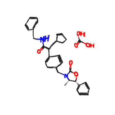 C[C@H]1[C@@H](c2ccccc2)OC(=O)N1Cc1ccc(C(C(=O)NCc2ccccc2)C2CCCC2)cc1.O=C(O)O